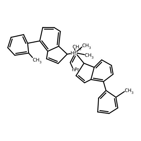 CCC[CH]=[Hf]([CH3])([CH3])([CH3])([CH]1C=Cc2c(-c3ccccc3C)cccc21)[CH]1C=Cc2c(-c3ccccc3C)cccc21